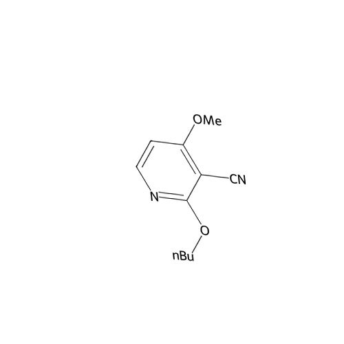 CCCCOc1nccc(OC)c1C#N